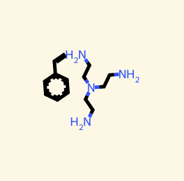 C=Cc1ccccc1.NCCN(CCN)CCN